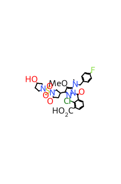 COc1c(C2CC(=O)N(S(=O)(=O)N3CCC(O)C3)C2)nn(C(=O)c2cccc(C(=O)O)c2Cl)c1N(C)Cc1ccc(F)cc1